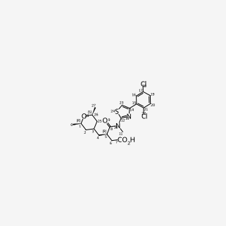 C[C@@H]1CC(C[C@H](CC(=O)O)C(=O)N(C)c2nc(-c3cc(Cl)ccc3Cl)cs2)C[C@H](C)O1